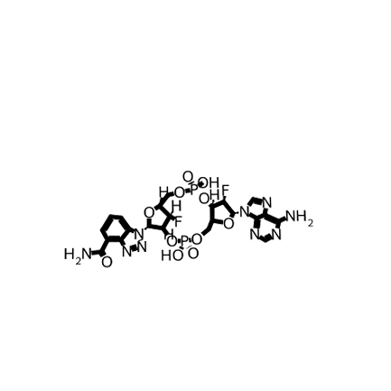 NC(=O)c1cccc2c1nnn2[C@@H]1O[C@@H]2COP(=O)(O)O[C@@H]3C(COP(=O)(O)O[C@@H]1[C@@H]2F)O[C@@H](n1cnc2c(N)ncnc21)[C@@H]3F